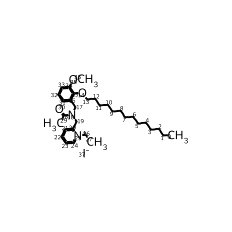 CCCCCCCCCCCCCCOc1c(CN(Cc2cccc[n+]2CC)C(C)=O)cccc1OC.[I-]